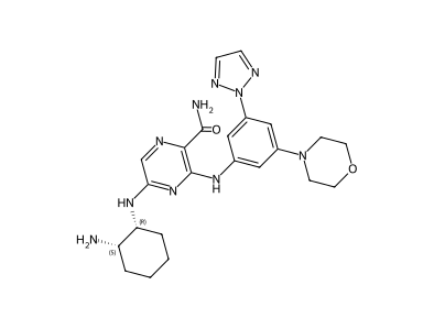 NC(=O)c1ncc(N[C@@H]2CCCC[C@@H]2N)nc1Nc1cc(N2CCOCC2)cc(-n2nccn2)c1